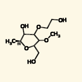 COC1C(CO)O[C@@H](C)C(O)C1OCCO